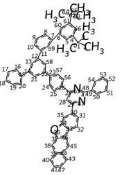 CC(C)(C)c1cc(-c2cccc(-c3cc(-c4ccccc4)cc(-c4ccc(-c5cc(-c6ccc7c(c6)oc6cc8ccccc8cc67)nc(-c6ccccc6)n5)cc4)c3)c2)cc(C(C)(C)C)c1